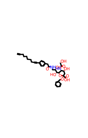 C#CCCCCCCC#Cc1ccc(CC(=O)NC[C@@H](O)[C@@H](O)[C@@H]2O[C@@](OCc3ccccc3)(C(=O)O)C[C@H](O)[C@H]2NC(=O)CO)cc1